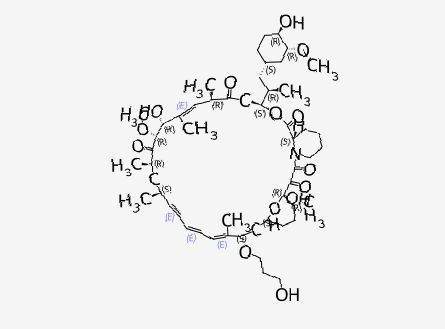 CO[C@@H]1C[C@H](C[C@@H](C)[C@@H]2CC(=O)[C@H](C)/C=C(\C)[C@@H](O)[C@@H](OC)C(=O)[C@H](C)C[C@H](C)/C=C/C=C/C=C(\C)[C@@H](OCCCO)C[C@@H]3CC[C@@H](C)[C@@](O)(O3)C(=O)C(=O)N3CCCC[C@H]3C(=O)O2)CC[C@H]1O